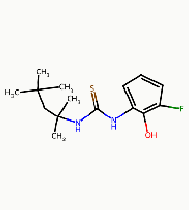 CC(C)(C)CC(C)(C)NC(=S)Nc1cccc(F)c1O